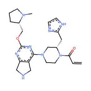 C=CC(=O)N1CCN(c2nc(OC[C@@H]3CCCN3C)nc3c2CNC3)C[C@@H]1Cc1ncc[nH]1